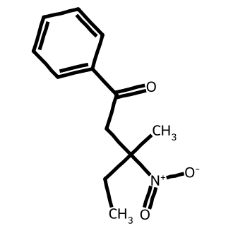 CCC(C)(CC(=O)c1ccccc1)[N+](=O)[O-]